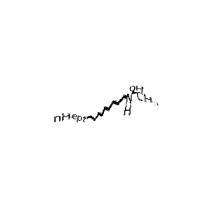 CCCCCCCCCCCCCCCCNC(C)O